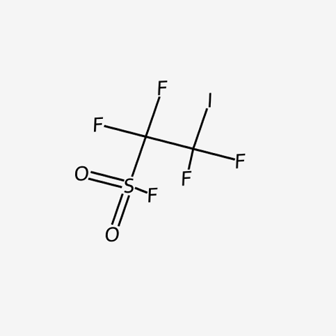 O=S(=O)(F)C(F)(F)C(F)(F)I